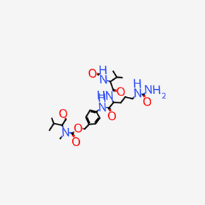 CC(C)C(NC=O)C(=O)NC(CCCNC(N)=O)C(=O)Nc1ccc(COC(=O)N(C)C(C=O)C(C)C)cc1